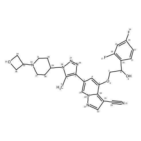 Cc1c(-c2cc(OCC(O)c3ccc(F)cc3F)c3c(C#N)cnn3c2)nnn1C1CCN(C2COC2)CC1